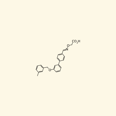 Cc1cccc(COc2cccc(-c3ccc(C=NOCC(=O)O)cc3)c2)c1